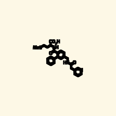 CSCCC(NC(=O)c1ccc(CNC(=O)Cc2cccnc2)cc1-c1ccccc1)C(=O)O